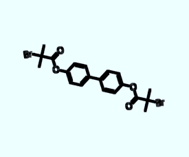 CC(C)(Br)C(=O)Oc1ccc(-c2ccc(OC(=O)C(C)(C)Br)cc2)cc1